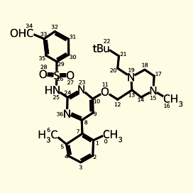 Cc1cccc(C)c1-c1cc(OCC2CN(C)CCN2CCC(C)(C)C)nc(NS(=O)(=O)c2cccc(C=O)c2)n1